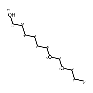 [CH2]CCOCOCCCCCCO